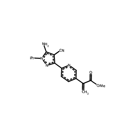 C=C(C(=O)OC)c1ccc(-c2nn(C(C)C)c(N)c2C#N)nc1